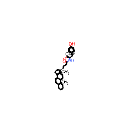 COC(=O)C(Cc1ccc(O)cc1)NC(=O)CCC[C@H]1CCC2C3CCC4CCCCC4(C)C3CCC21C